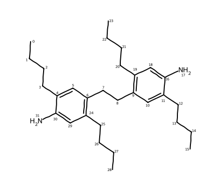 CCCCc1cc(CCc2cc(CCCC)c(N)cc2CCCC)c(CCCC)cc1N